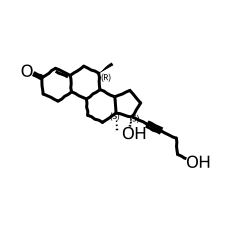 C[C@@H]1CC2=CC(=O)CCC2C2CC[C@@]3(C)C(CC[C@@]3(O)C#CCCO)C21